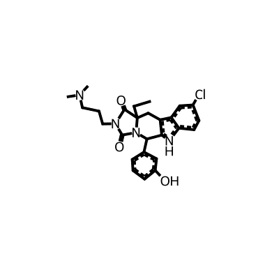 CCC12Cc3c([nH]c4ccc(Cl)cc34)C(c3cccc(O)c3)N1C(=O)N(CCCN(C)C)C2=O